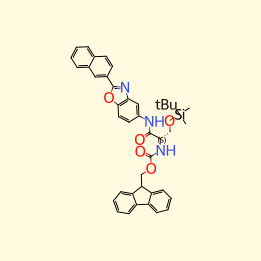 CC(C)(C)[Si](C)(C)OC[C@H](NC(=O)OCC1c2ccccc2-c2ccccc21)C(=O)Nc1ccc2oc(-c3ccc4ccccc4c3)nc2c1